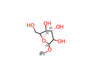 CC(C)O[C@H]1OC(CO)[C@@H](O)[C@H](O)C1O